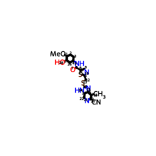 COc1ccc(NC(=O)c2cnc(CSc3nc4c(C)c(C#N)ncc4[nH]3)s2)cc1O